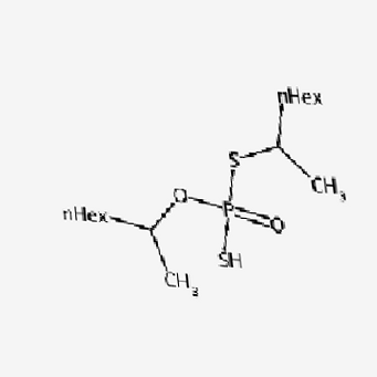 CCCCCCC(C)OP(=O)(S)SC(C)CCCCCC